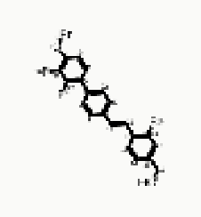 CCOc1ccc(-c2ccc(/C=C/c3ccc(CO)cc3F)cc2)c(F)c1F